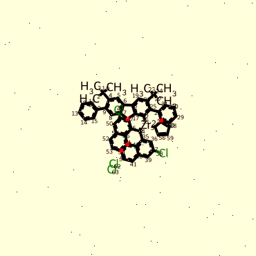 CC(C)(C)c1cc2c(cc1-c1ccccc1)Cc1c-2cc(C(C)(C)C)c(-c2ccccc2)[c]1[Zr+2](=[C](c1cc(Cl)cc2ccccc12)c1cc(Cl)cc2ccccc12)[CH]1C=CC=C1.[Cl-].[Cl-]